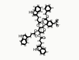 O=C(CCc1c[nH]c2ccccc12)O[C@H]1[C@H](OC(=O)CCc2c[nH]c3ccccc23)COC(Oc2ccc([N+](=O)[O-])cc2C(=O)OCc2ccccc2)[C@@H]1OC(=O)CCc1c[nH]c2ccccc12